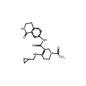 CC(=O)N1CCC(NCC2CC2)=C(C(=N)Nc2ccc3c(c2)C(=O)NCC3)C1